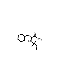 CCC(C)(C)N[C@@H](CC1CCCCC1)C(N)=O